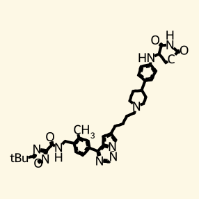 Cc1cc(-c2ncnn3cc(CCCCN4CCC(c5ccc(NC6CCC(=O)NC6=O)cc5)CC4)cc23)ccc1CNC(=O)c1noc(C(C)(C)C)n1